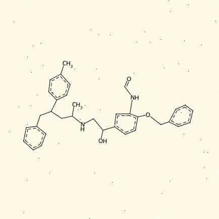 Cc1ccc(C(Cc2ccccc2)CC(C)NCC(O)c2ccc(OCc3ccccc3)c(NC=O)c2)cc1